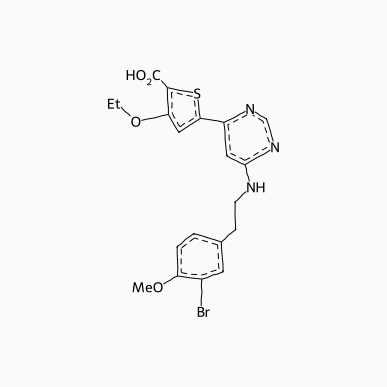 CCOc1cc(-c2cc(NCCc3ccc(OC)c(Br)c3)ncn2)sc1C(=O)O